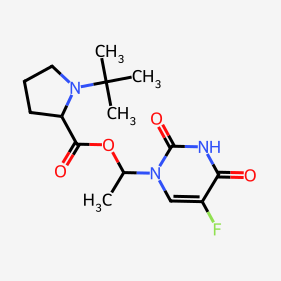 CC(OC(=O)C1CCCN1C(C)(C)C)n1cc(F)c(=O)[nH]c1=O